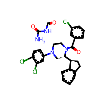 NC(=O)NC=O.O=C(c1cccc(Cl)c1)N1CCN(c2ccc(Cl)c(Cl)c2)C[C@H]1[C@H]1CCc2ccccc21